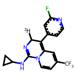 [2H]C1N=C(NC2CC2)N2C=CC(C(F)(F)F)=CC2=C1c1ccnc(F)c1